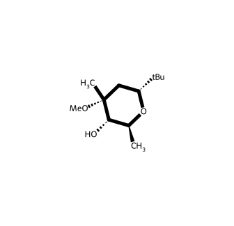 CO[C@]1(C)C[C@H](C(C)(C)C)O[C@@H](C)[C@@H]1O